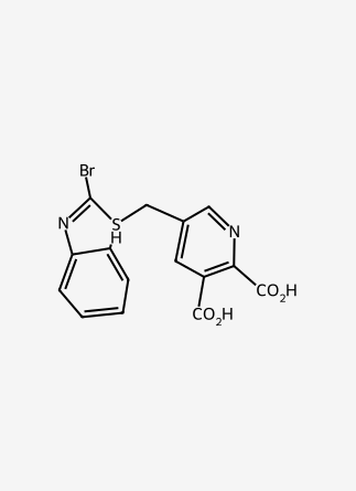 O=C(O)c1cc(C[SH]2C(Br)=Nc3ccccc32)cnc1C(=O)O